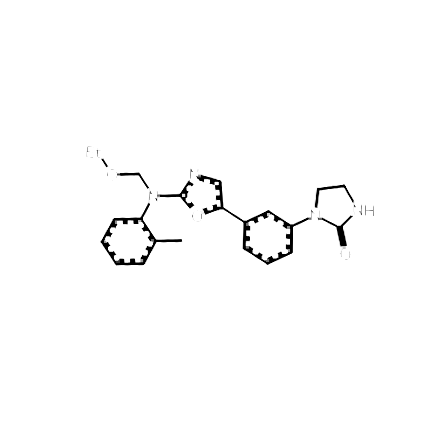 CCOCN(c1ncc(-c2cccc(N3CCNC3=O)c2)o1)c1ccccc1C